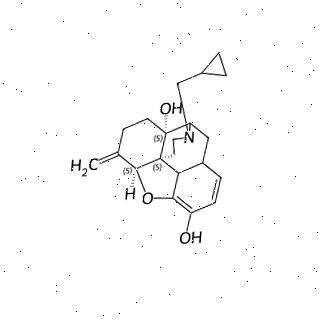 C=C1CC[C@@]2(O)C3CC4C=CC(O)=C5O[C@@H]1[C@]2(CCN3CC1CC1)C54